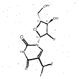 O=c1[nH]c(=O)n([C@@H]2O[C@H](CO)[C@@H](O)C2F)cc1C(F)F